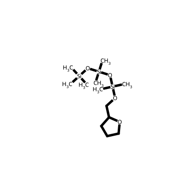 C[Si](C)(C)O[Si](C)(C)O[Si](C)(C)OCC1CCCO1